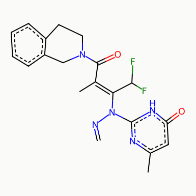 C=NN(/C(=C(\C)C(=O)N1CCc2ccccc2C1)C(F)F)c1nc(C)cc(=O)[nH]1